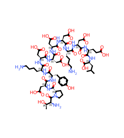 CC(C)C[C@H](NC(=O)[C@H](CCC(=O)O)NC(=O)[C@H](CC(=O)O)NC(=O)[C@H](CCCCN)NC(=O)[C@H](CC(=O)O)NC(=O)[C@H](CC(=O)O)NC(=O)[C@H](CC(=O)O)NC(=O)[C@H](CC(=O)O)NC(=O)[C@H](CCCCN)NC(=O)[C@H](Cc1ccc(O)cc1)NC(=O)[C@H](CC(=O)O)NC(=O)[C@@H]1CCCN1C(=O)[C@@H](N)[C@@H](C)O)C(=O)O